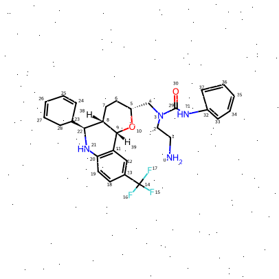 NCCN(C[C@H]1CC[C@@H]2[C@H](O1)c1cc(C(F)(F)F)ccc1N[C@H]2C1C=CC=CC1)C(=O)Nc1ccccc1